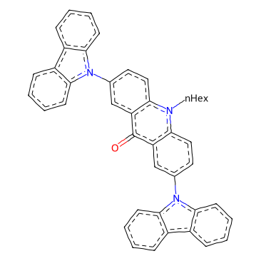 CCCCCCn1c2ccc(-n3c4ccccc4c4ccccc43)cc2c(=O)c2cc(-n3c4ccccc4c4ccccc43)ccc21